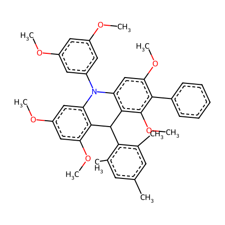 COc1cc(OC)cc(N2c3cc(OC)cc(OC)c3C(c3c(C)cc(C)cc3C)c3c2cc(OC)c(-c2ccccc2)c3OC)c1